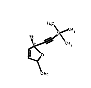 CC[C@]1(C#C[Si](C)(C)C)C=CC(OC(C)=O)O1